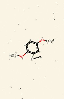 CCC.O=C(O)Oc1ccc(OC(=O)O)cc1